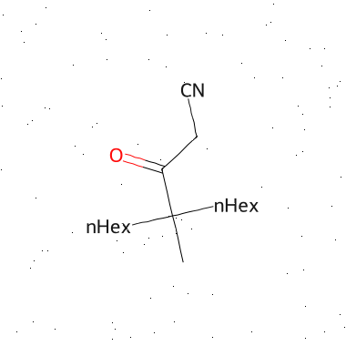 CCCCCCC(C)(CCCCCC)C(=O)CC#N